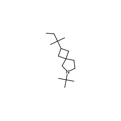 CCC(C)(C)C1CC2(CCN(C(C)(C)C)C2)C1